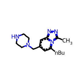 CCCCc1cc(CN2CCNCC2)cc2nnc(C)n12